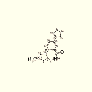 CN1CC2CNC(=O)c3cc(C4=CCCC4)ccc3C2C1